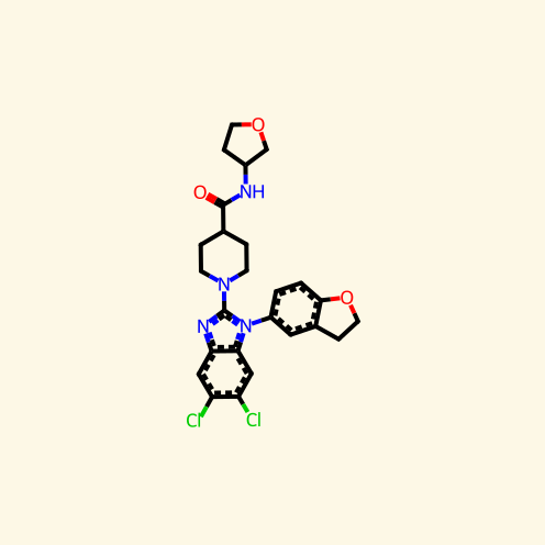 O=C(NC1CCOC1)C1CCN(c2nc3cc(Cl)c(Cl)cc3n2-c2ccc3c(c2)CCO3)CC1